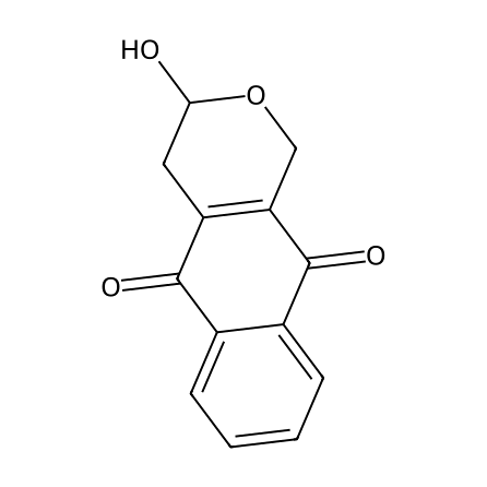 O=C1C2=C(CC(O)OC2)C(=O)c2ccccc21